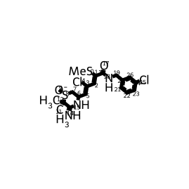 CS/C(=C\C(Cl)=C\C1C[S+]([O-])C(C)(C)C(=N)N1)C(=O)NCc1cccc(Cl)c1